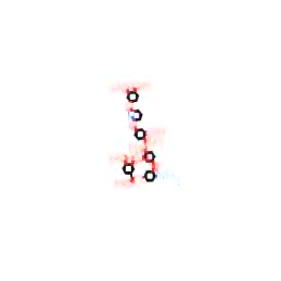 Nc1ccccc1Oc1ccc(O)c(O)c1.O=C(O)c1ccc(O)c(O)c1.Oc1ccc(Oc2cccc(Oc3ccc(O)c(O)c3)n2)cc1O